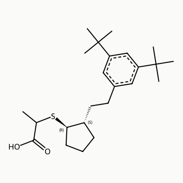 CC(S[C@@H]1CCC[C@H]1CCc1cc(C(C)(C)C)cc(C(C)(C)C)c1)C(=O)O